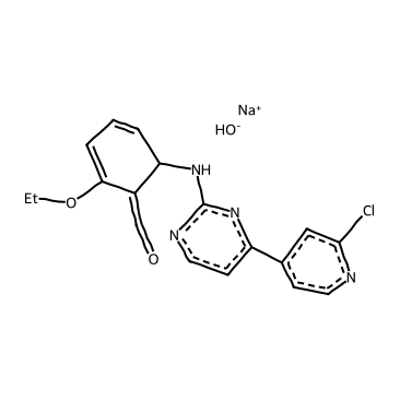 CCOC1=CC=CC(Nc2nccc(-c3ccnc(Cl)c3)n2)C1=C=O.[Na+].[OH-]